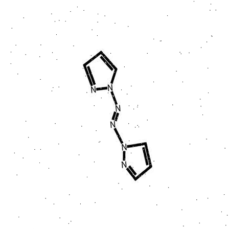 c1cnn(N=Nn2cccn2)c1